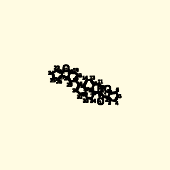 O=C(c1ccccc1O)c1ccc2ccc3c(-c4ccc5oc6ccccc6c5c4)ccc4ccc1c2c43